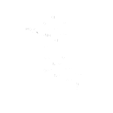 CN1CCc2cc3c(=O)n(-c4ccc(C[C@H](NC(=O)c5c(Cl)cccc5Cl)C(=O)O)cc4)c(=O)n(C)c3cc21